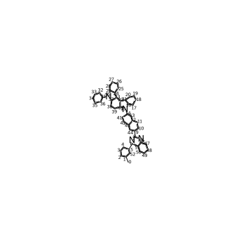 Cc1cccc(-c2nc(-c3ccc4cc(-n5c6ccccc6c6c7c8ccccc8n(-c8ccccc8)c7ccc65)ccc4c3)nc3ccccc23)c1